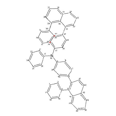 c1ccc(-c2c(-c3ccc(N(c4ccccc4)c4ccc(-c5cccc6cccc(-c7ccccc7)c56)cc4)cc3)ccc3ccccc23)cc1